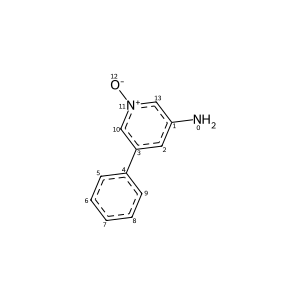 Nc1cc(-c2ccccc2)c[n+]([O-])c1